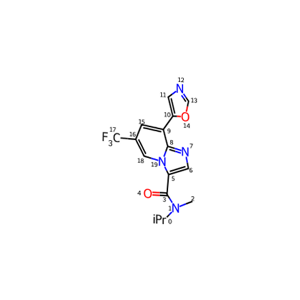 CC(C)N(C)C(=O)c1cnc2c(-c3cnco3)cc(C(F)(F)F)cn12